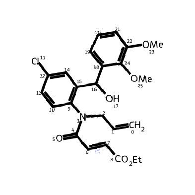 C=CCN(C(=O)/C=C/C(=O)OCC)c1ccc(Cl)cc1C(O)c1cccc(OC)c1OC